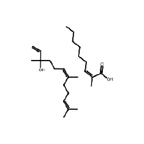 C=CC(C)(O)CCC=C(C)CCC=C(C)C.CCCCCCC=C(C)C(=O)O